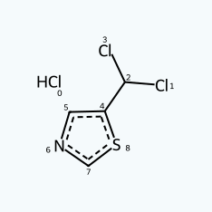 Cl.ClC(Cl)c1cncs1